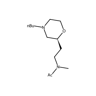 CCCCN1CCO[C@@H](CCN(C)C(C)=O)C1